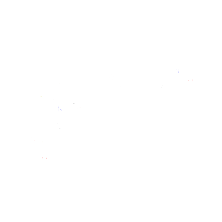 O=Nc1ccc(-c2ccc(/C=C3/SC(=S)N(C4CCS(=O)(=O)C4)C3=O)o2)cc1